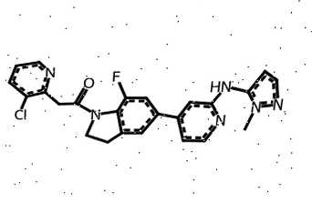 Cn1nccc1Nc1cc(-c2cc(F)c3c(c2)CCN3C(=O)Cc2ncccc2Cl)ccn1